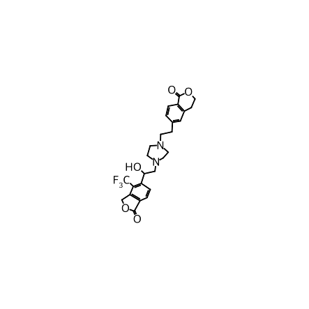 O=C1OCCc2cc(CCN3CCN(CC(O)c4ccc5c(c4C(F)(F)F)COC5=O)CC3)ccc21